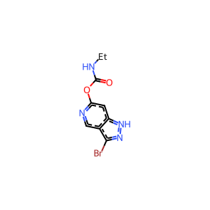 CCNC(=O)Oc1cc2[nH]nc(Br)c2cn1